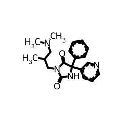 CC(CN(C)C)CN1C(=O)NC(c2ccccc2)(c2cccnc2)C1=O